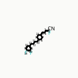 N#CC(F)=CC=CC1CCC(CCCCc2ccc(F)c(F)c2)CC1